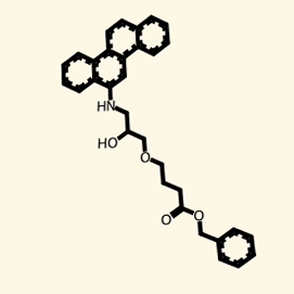 O=C(CCCOCC(O)CNc1cc2c3ccccc3ccc2c2ccccc12)OCc1ccccc1